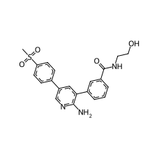 CS(=O)(=O)c1ccc(-c2cnc(N)c(-c3cccc(C(=O)NCCO)c3)c2)cc1